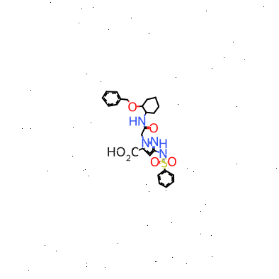 O=C(Cn1nc(NS(=O)(=O)c2ccccc2)cc1C(=O)O)NC1CCCCC1OCc1ccccc1